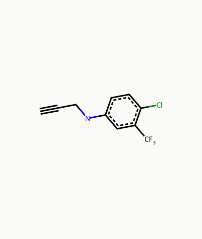 C#CC[N]c1ccc(Cl)c(C(F)(F)F)c1